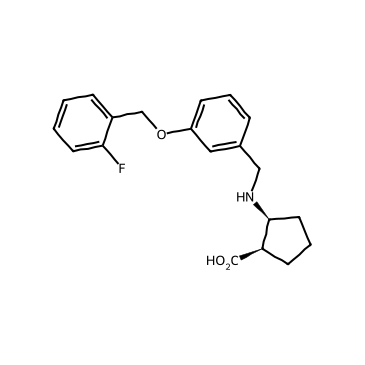 O=C(O)[C@@H]1CCC[C@@H]1NCc1cccc(OCc2ccccc2F)c1